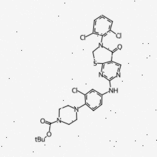 CC(C)(C)OC(=O)N1CCN(c2ccc(Nc3ncc4c(n3)SCN(c3c(Cl)cccc3Cl)C4=O)cc2Cl)CC1